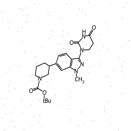 Cn1nc(N2CCC(=O)NC2=O)c2ccc(C3CCCN(C(=O)OC(C)(C)C)C3)cc21